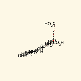 O=C[C@H](CSCC(=O)NCCNC(=O)COCCOCCNC(=O)COCCOCCNC(=O)CC[C@H](NC(=O)CCCCCCCCCCCCCCCCC(=O)O)C(=O)O)NP